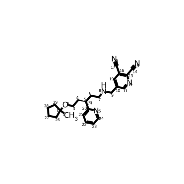 CC1(OCC[C@@H](CCNCc2cnc(C#N)c(C#N)c2)c2ccccn2)CCCC1